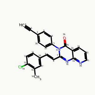 C#Cc1ccc(-n2c(/C=C/c3ccc(Cl)c(C)c3)nc3ncccc3c2=O)cc1